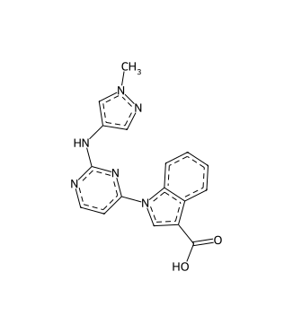 Cn1cc(Nc2nccc(-n3cc(C(=O)O)c4ccccc43)n2)cn1